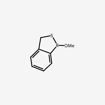 COB1SCc2ccccc21